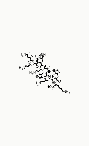 NCCCC[C@H](NC(=O)[C@H](Cc1c[nH]cn1)NC(=O)[C@H](CCCCN)NC(=O)[C@H](Cc1c[nH]cn1)NC(=O)[C@H](CCCCN)NC(=O)[C@H](Cc1c[nH]cn1)NC(=O)[C@H](CCCCN)NC(=O)[C@@H](N)CC(N)=O)C(=O)O